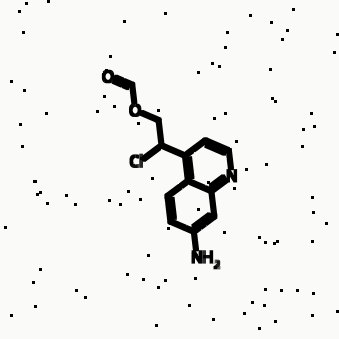 Nc1ccc2c(C(Cl)COC=O)ccnc2c1